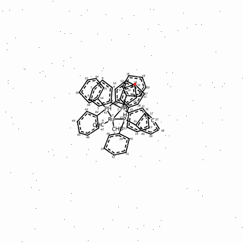 O=[CH][Ru]([CH]=O)([PH](c1ccccc1)(c1ccccc1)c1ccccc1)([PH](c1ccccc1)(c1ccccc1)c1ccccc1)[PH](c1ccccc1)(c1ccccc1)c1ccccc1